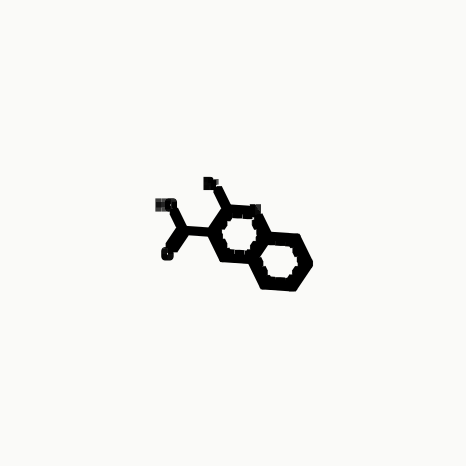 O=C(O)c1cc2ccccc2nc1Br